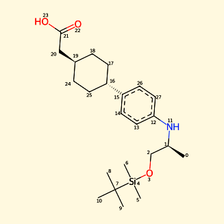 C[C@@H](CO[Si](C)(C)C(C)(C)C)Nc1ccc([C@H]2CC[C@H](CC(=O)O)CC2)cc1